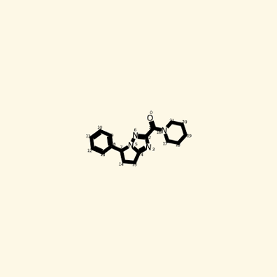 O=C(c1nc2n(n1)C(c1ccccc1)CC2)N1CCCCC1